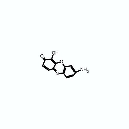 Nc1ccc2nc3ccc(=O)c(O)c-3oc2c1